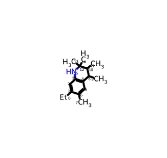 CCc1cc2c(cc1C)C(C)C(C)C(C)(C)N2